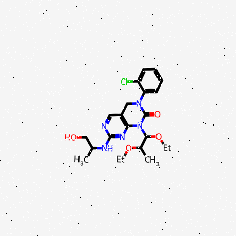 CCOC(C)C(OCC)N1C(=O)N(c2ccccc2Cl)Cc2cnc(NC(C)CO)nc21